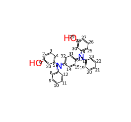 Oc1cccc(N(c2ccccc2)c2ccc(N(c3ccccc3)c3cccc(O)c3)cc2)c1